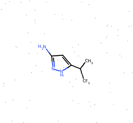 CC(c1cc(N)n[nH]1)C(F)(F)F